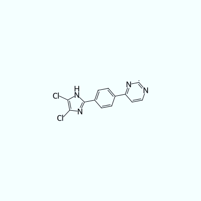 Clc1nc(-c2ccc(-c3ccn[c]n3)cc2)[nH]c1Cl